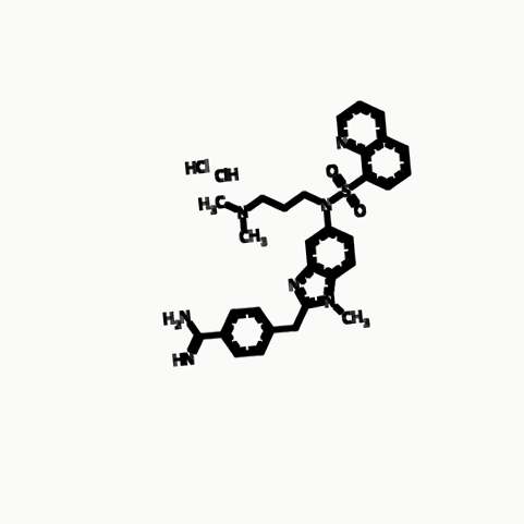 CN(C)CCCN(c1ccc2c(c1)nc(Cc1ccc(C(=N)N)cc1)n2C)S(=O)(=O)c1cccc2cccnc12.Cl.Cl